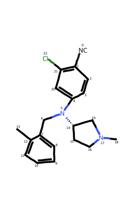 [C-]#[N+]c1ccc(N(Cc2ccccc2C)[C@H]2CCN(C)C2)cc1Cl